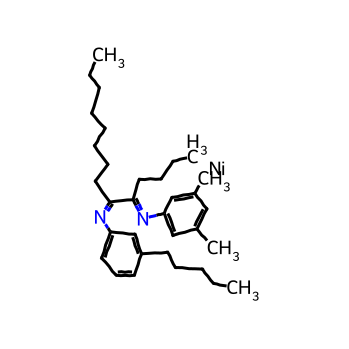 CCCCCCCCC(=Nc1cccc(CCCCC)c1)C(CCCC)=Nc1cc(C)cc(C)c1.[Ni]